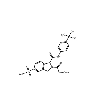 CNS(=O)(=O)c1ccc2c(c1)CN(C(=O)COC)C2C(=O)Nc1ccc(C(O)(C(F)(F)F)C(F)(F)F)cc1